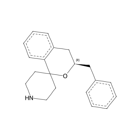 c1ccc(C[C@@H]2Cc3ccccc3C3(CCNCC3)O2)cc1